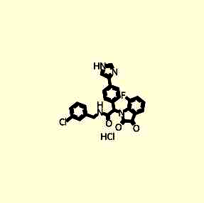 Cl.O=C1C(=O)N(C(C(=O)NCc2cccc(Cl)c2)c2ccc(-c3c[nH]cn3)cc2)c2c(F)cccc21